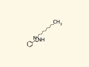 CCCCCCCCCc1nc(-c2ccccc2)c[nH]1